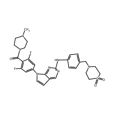 CN1CCN(C(=O)c2c(F)cc(-n3ccc4cnc(Nc5ccc(CN6CCS(=O)(=O)CC6)cc5)nc43)cc2F)CC1